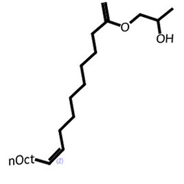 C=C(CCCCCCC/C=C\CCCCCCCC)OCC(C)O